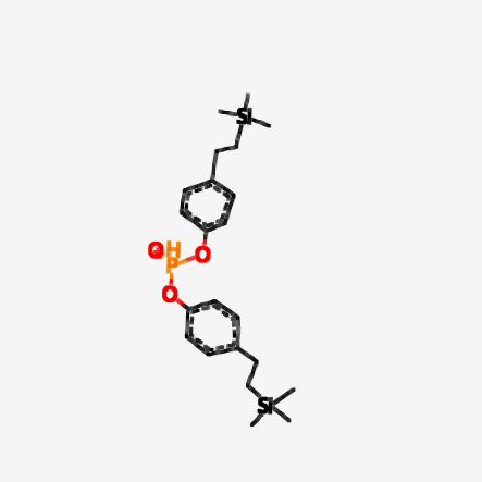 C[Si](C)(C)CCc1ccc(O[PH](=O)Oc2ccc(CC[Si](C)(C)C)cc2)cc1